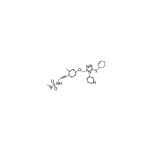 Cc1cc(OCc2nnc(SC3C=CCCC3)n2-c2cccnc2)ccc1C#CCNS(=O)(=O)N(C)C